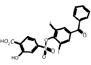 O=C(c1ccccc1)c1cc(I)c(OS(=O)(=O)c2ccc(C(=O)O)c(O)c2)c(I)c1